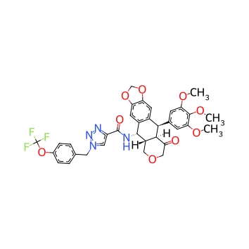 COc1cc([C@@H]2c3cc4c(cc3[C@@H](NC(=O)c3cn(Cc5ccc(OC(F)(F)F)cc5)nn3)[C@H]3COCC(=O)[C@H]23)OCO4)cc(OC)c1OC